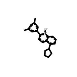 Cc1cc(C)cc(-c2ccc3c(C4CCCC4)cccc3[n+]2[O-])c1